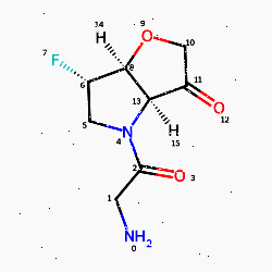 NCC(=O)N1C[C@H](F)[C@H]2OCC(=O)[C@H]21